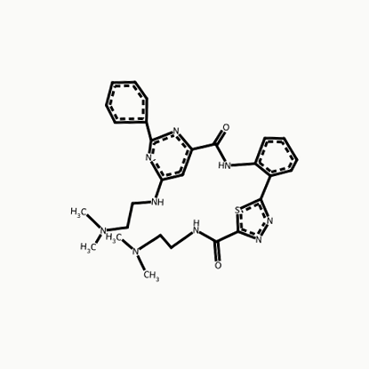 CN(C)CCNC(=O)c1nnc(-c2ccccc2NC(=O)c2cc(NCCN(C)C)nc(-c3ccccc3)n2)s1